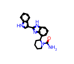 NC(=O)N1CCCCC1c1cccc2[nH]c(-c3c[nH]c4ccccc34)nc12